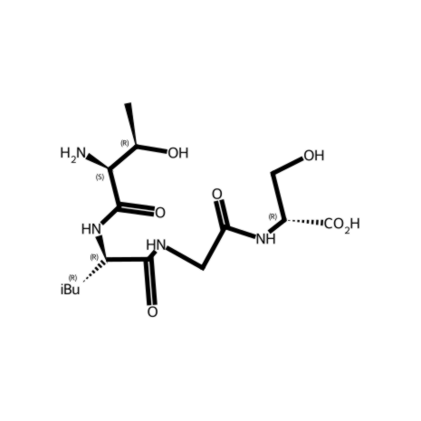 CC[C@@H](C)[C@@H](NC(=O)[C@@H](N)[C@@H](C)O)C(=O)NCC(=O)N[C@H](CO)C(=O)O